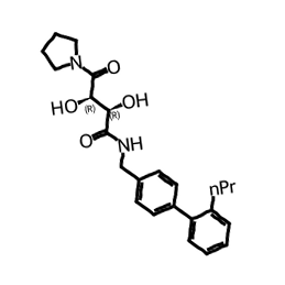 CCCc1ccccc1-c1ccc(CNC(=O)[C@H](O)[C@@H](O)C(=O)N2CCCC2)cc1